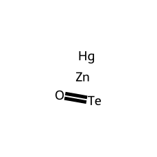 O=[Te].[Hg].[Zn]